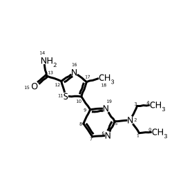 CCN(CC)c1nccc(-c2sc(C(N)=O)nc2C)n1